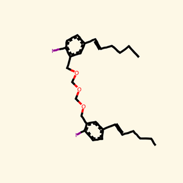 CCCCC=Cc1ccc(I)c(COCOCOCc2cc(C=CCCCC)ccc2I)c1